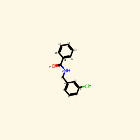 O=C(NCc1cccc(Cl)c1)c1ccccc1